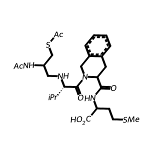 CSCCC(NC(=O)C1Cc2ccccc2CN1C(=O)[C@@H](NCC(CSC(C)=O)NC(C)=O)C(C)C)C(=O)O